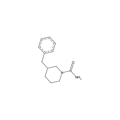 NC(=O)N1CCCC(Cc2ccccc2)C1